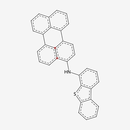 c1ccc(-c2cccc3cccc(-c4ccc(Nc5cccc6c5sc5ccccc56)cc4)c23)cc1